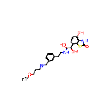 CCCOCCCNCc1cccc(CCNC(O)C(O)c2ccc(O)c3[nH]c(=O)sc23)c1